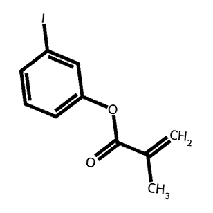 C=C(C)C(=O)Oc1cccc(I)c1